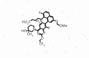 COCOc1cc(-c2c(N)cc3c(N4CCC[C@@](C)(O)C4)nc(OCC(F)(F)F)nc3c2F)c2c(CCCCC(=O)O)c(F)ccc2c1